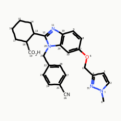 Cn1ccc(COc2ccc3nc(C4CCCCC4C(=O)O)n(Cc4ccc(C#N)cc4)c3c2)n1